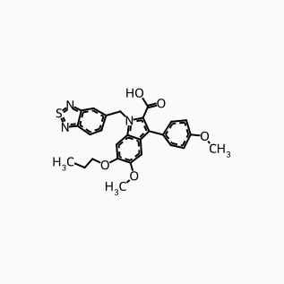 CCCOc1cc2c(cc1OC)c(-c1ccc(OC)cc1)c(C(=O)O)n2Cc1ccc2nsnc2c1